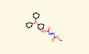 CCOC(=O)N=NC(=O)O.c1ccc(P(c2ccccc2)c2ccccc2)cc1